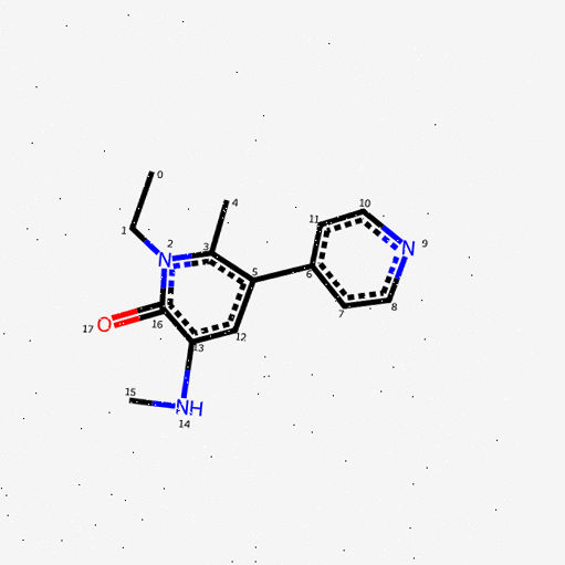 CCn1c(C)c(-c2ccncc2)cc(NC)c1=O